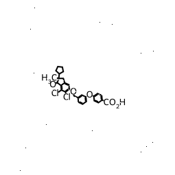 CC1(C2CCCC2)Cc2cc(OCc3cccc(Oc4ccc(C(=O)O)cc4)c3)c(Cl)c(Cl)c2C1=O